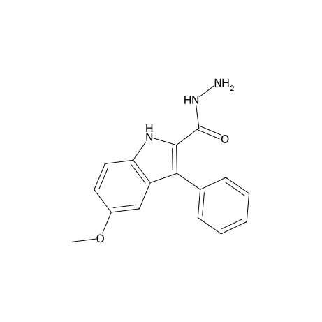 COc1ccc2[nH]c(C(=O)NN)c(-c3ccccc3)c2c1